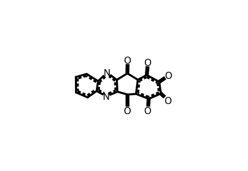 O=C1c2nc3ccccc3nc2C(=O)c2c1c(=O)c(=O)c(=O)c2=O